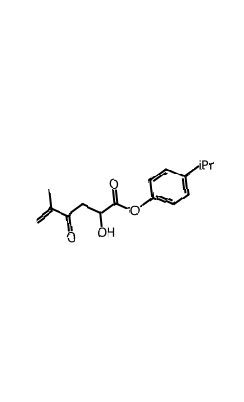 C=C(C)C(=O)CC(O)C(=O)Oc1ccc(C(C)C)cc1